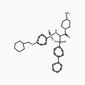 NC1CCN(C(=O)C(NS(=O)(=O)c2ccc(OCC3CCCCC3)cc2)C(F)(F)c2ccc(-c3ccccc3)cc2)CC1